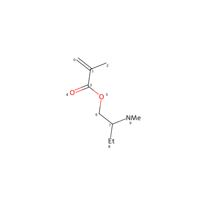 C=C(C)C(=O)OCC(CC)NC